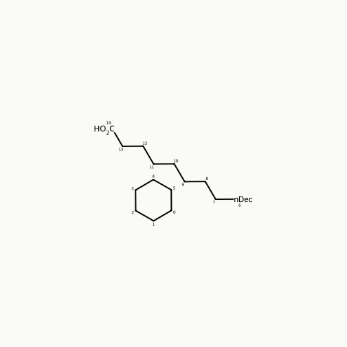 C1CCCCC1.CCCCCCCCCCCCCCCCCC(=O)O